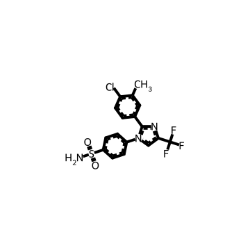 Cc1cc(-c2nc(C(F)(F)F)cn2-c2ccc(S(N)(=O)=O)cc2)ccc1Cl